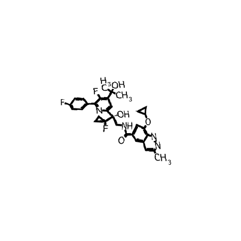 Cc1cc2cc(C(=O)NC[C@](O)(c3cc(C(C)(C)O)c(F)c(-c4ccc(F)cc4)n3)C3(F)CC3)cc(OC3CC3)c2nn1